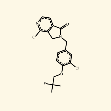 O=C1c2ccnc(Cl)c2CN1Cc1ccc(OCC(F)(F)I)c(Cl)c1